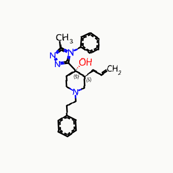 C=CC[C@H]1CN(CCc2ccccc2)CC[C@@]1(O)c1nnc(C)n1-c1ccccc1